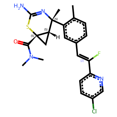 Cc1ccc(/C=C(\F)c2ccc(Cl)cn2)cc1[C@@]1(C)N=C(N)S[C@@]2(C(=O)N(C)C)C[C@H]21